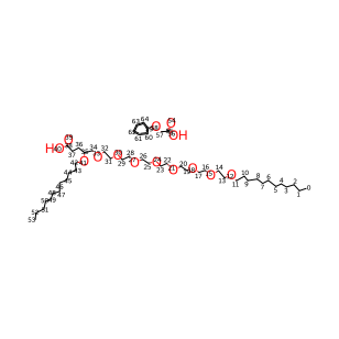 CCCCCCCCCCCCOCCOCCOCCOCCOCCOCCOCCOCC(CCC(=O)O)OCCCCCCCCCCCC.O=C(O)COc1ccccc1